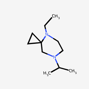 CCN1CCN(C(C)C)CC12CC2